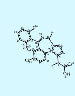 [CH2]C(C(=O)O)c1cnc2n1-c1ccc(Cl)c(Cl)c1C(c1c(F)cccc1F)=NC2C